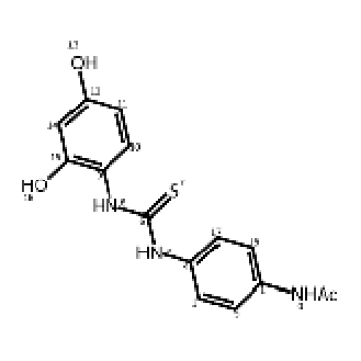 CC(=O)Nc1ccc(NC(=S)Nc2ccc(O)cc2O)cc1